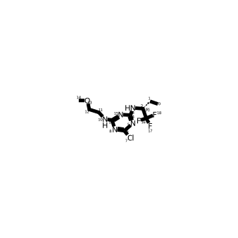 CC[C@@H](Nc1nc(Cl)nc(NCCOC)n1)C(F)(F)F